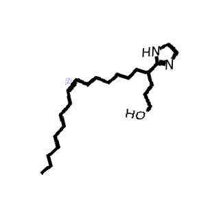 CCCCCCCC/C=C\CCCCCCC(CCCO)C1=NCCN1